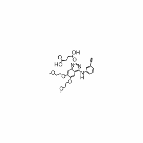 C#Cc1cccc(Nc2ncnc3cc(OCCOC)c(OCCOC)cc23)c1.O=C(O)CCC(=O)O